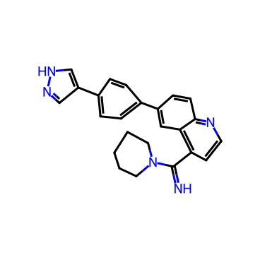 N=C(c1ccnc2ccc(-c3ccc(-c4cn[nH]c4)cc3)cc12)N1CCCCC1